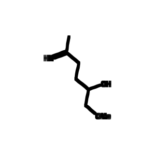 COCC(O)CCC(C)=N